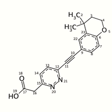 CC1(C)CCOc2ccc(C#Cc3ccc(CC(=O)O)nn3)cc21